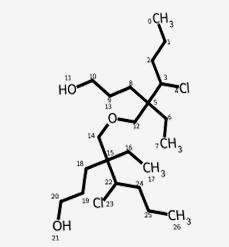 CCCC(Cl)C(CC)(CCCO)COCC(CC)(CCCO)C(Cl)CCC